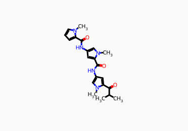 CC(C)C(=O)c1cc(NC(=O)c2cc(NC(=O)c3cccn3C)cn2C)cn1C